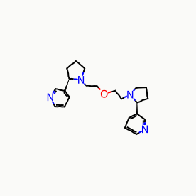 c1cncc([C@H]2CCCN2CCOCCN2CCC[C@H]2c2cccnc2)c1